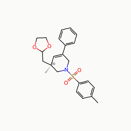 Cc1ccc(S(=O)(=O)N2CC(c3ccccc3)=C[C@](C)(CC3OCCO3)C2)cc1